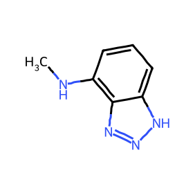 CNc1cccc2[nH]nnc12